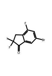 O=C1c2cc(Br)cc(F)c2CC1(F)I